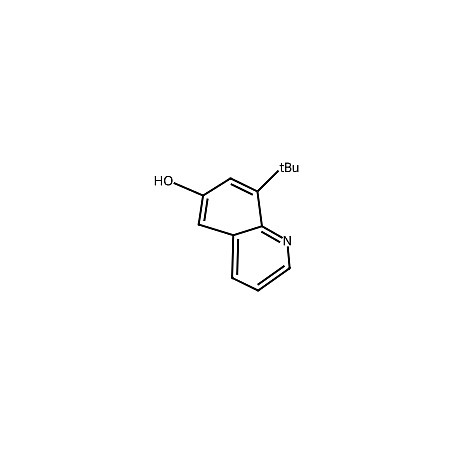 CC(C)(C)c1cc(O)cc2cccnc12